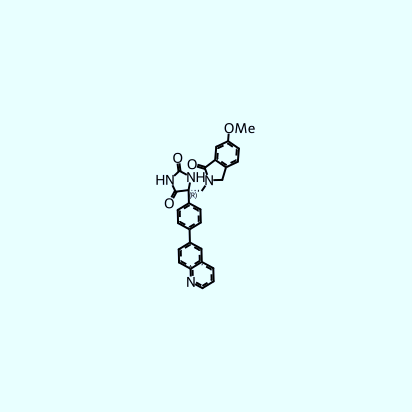 COc1ccc2c(c1)C(=O)N(C[C@@]1(c3ccc(-c4ccc5ncccc5c4)cc3)NC(=O)NC1=O)C2